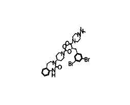 CN(C)N1CCN(C(=O)[C@@H](Cc2cc(Br)cc(Br)c2)OC(=O)N2CCC(N3CCc4ccccc4NC3=O)CC2)CC1